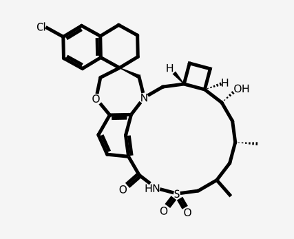 CC1C[C@@H](C)C[C@@H](O)[C@@H]2CC[C@H]2CN2C[C@@]3(CCCc4cc(Cl)ccc43)COc3ccc(cc32)C(=O)NS(=O)(=O)C1